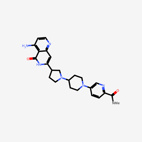 CNC(=O)c1ccc(N2CCC(N3CCC(c4cc5nccc(N)c5c(=O)[nH]4)C3)CC2)cn1